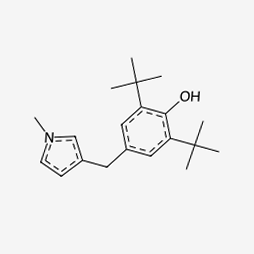 Cn1ccc(Cc2cc(C(C)(C)C)c(O)c(C(C)(C)C)c2)c1